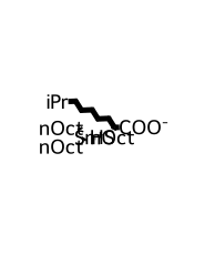 CC(C)CCCCCC(S)C(=O)[O-].CCCCCCC[CH2][Sn+]([CH2]CCCCCCC)[CH2]CCCCCCC